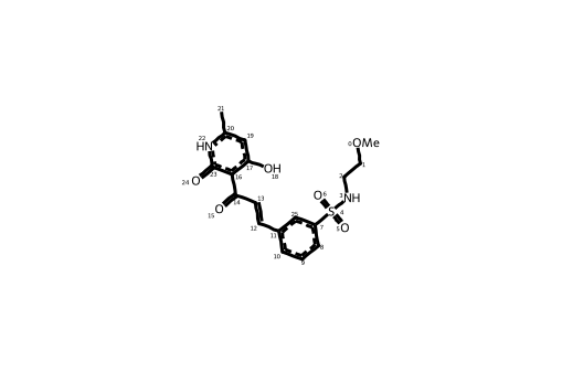 COCCNS(=O)(=O)c1cccc(C=CC(=O)c2c(O)cc(C)[nH]c2=O)c1